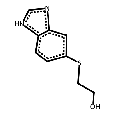 OCCSc1ccc2[nH]cnc2c1